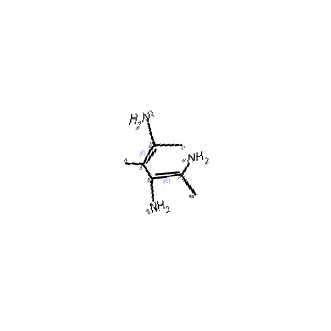 C/C(N)=C(C)\C(N)=C(\C)N